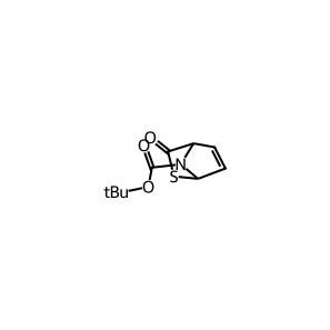 CC(C)(C)OC(=O)N1C2C=CC1C(=O)S2